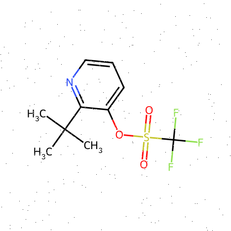 CC(C)(C)c1ncccc1OS(=O)(=O)C(F)(F)F